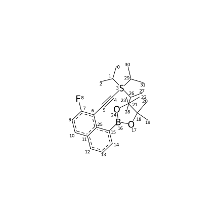 CC(C)S(C#Cc1c(F)ccc2cccc(B3OC(C)(C)C(C)(C)O3)c12)(C(C)C)C(C)C